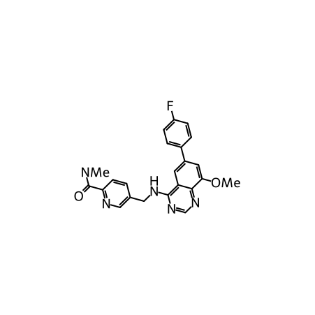 CNC(=O)c1ccc(CNc2ncnc3c(OC)cc(-c4ccc(F)cc4)cc23)cn1